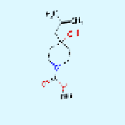 C=C(CC1(O)CCN(C(=O)OC(C)(C)C)CC1)C(F)(F)F